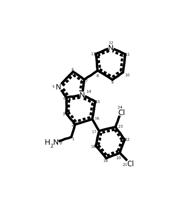 NCc1cc2ncc(-c3cccnc3)n2cc1-c1ccc(Cl)cc1Cl